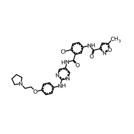 Cc1cc(C(=O)Nc2ccc(Cl)c(C(=O)Nc3cnc(Nc4ccc(OCCN5CCCC5)cc4)nc3)c2)no1